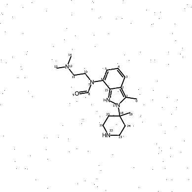 Cc1c2cccc(N(C=O)CCN(C)C)c2nn1C1(C)CCNCC1